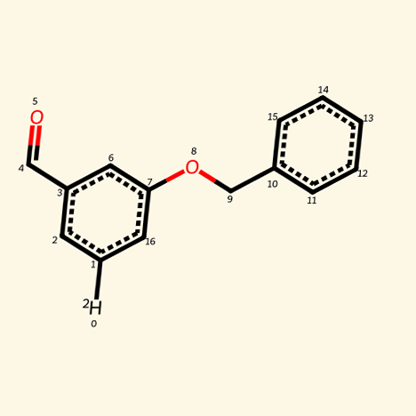 [2H]c1cc(C=O)cc(OCc2ccccc2)c1